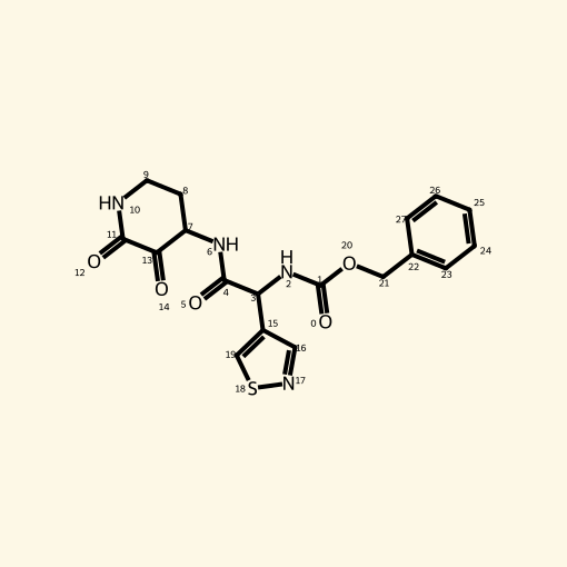 O=C(NC(C(=O)NC1CCNC(=O)C1=O)c1cnsc1)OCc1ccccc1